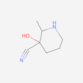 CC1NCCCC1(O)C#N